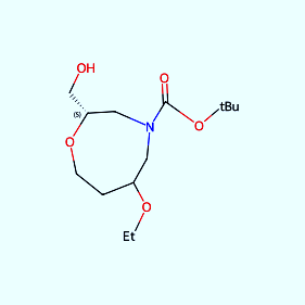 CCOC1CCO[C@H](CO)CN(C(=O)OC(C)(C)C)C1